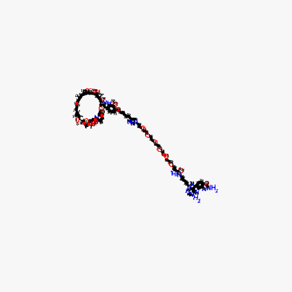 CO[C@H]1C[C@@H]2CC[C@@H](C)[C@@](O)(O2)C(=O)C(=O)N2CCCC[C@H]2C(=O)O[C@H]([C@H](N)C[C@@H]2CC[C@@H](OCCCCc3cn(CCOCCOCCOCCOCCOCCOCCC(=O)NCCCCn4nc(-c5ccc6oc(N)nc6c5)c5c(N)ncnc54)nn3)[C@H](OC)C2)CC(=O)[C@H](C)/C=C(\C)[C@@H](O)[C@@H](O)C(=O)[C@H](C)C[C@H](C)/C=C/C=C/C=C/1C